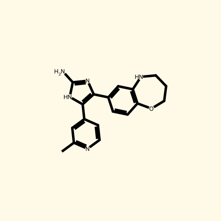 Cc1cc(-c2[nH]c(N)nc2-c2ccc3c(c2)NCCCO3)ccn1